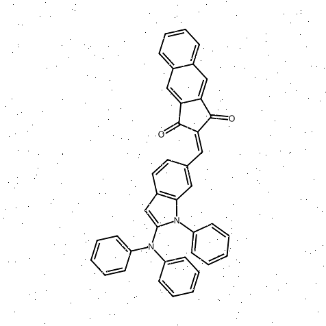 O=C1C(=Cc2ccc3cc(N(c4ccccc4)c4ccccc4)n(-c4ccccc4)c3c2)C(=O)c2cc3ccccc3cc21